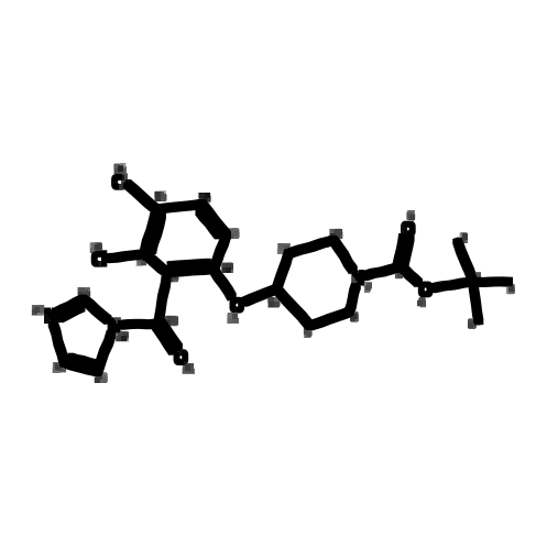 CC(C)(C)OC(=O)N1CCC(Oc2ccc(Cl)c(Cl)c2C(=O)n2ccnc2)CC1